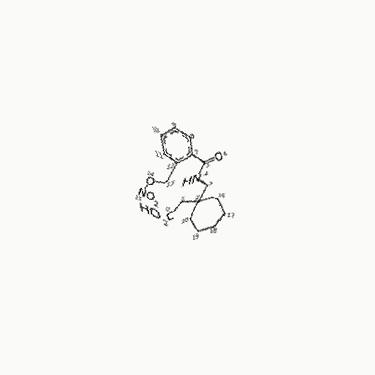 O=C(O)CC1(CNC(=O)c2ccccc2CO[N+](=O)[O-])CCCCC1